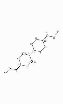 CCC[C@H]1CO[C@H](C2CCC(OCC)CC2)OC1